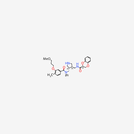 COCCCOc1cc(C(=O)N(C[C@@H]2CNC[C@H]2CNC(=O)[C@@H]2COc3ccccc3O2)C(C)C)ccc1C